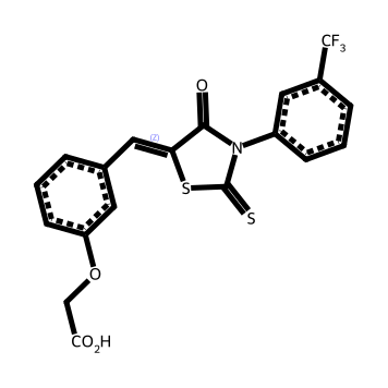 O=C(O)COc1cccc(/C=C2\SC(=S)N(c3cccc(C(F)(F)F)c3)C2=O)c1